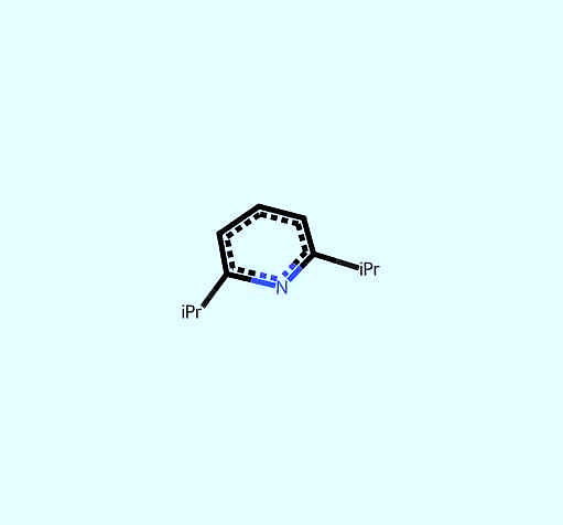 CC(C)c1cccc(C(C)C)n1